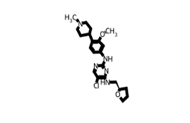 COc1cc(Nc2ncc(Cl)c(NC[C@H]3CCCO3)n2)ccc1C1CCN(C)CC1